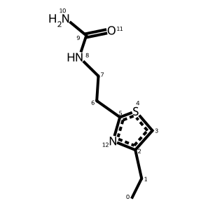 CCc1csc(CCNC(N)=O)n1